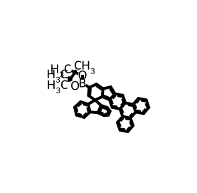 CC1(C)OB(C2=CC3(C4=c5cc6c7ccccc7c7ccccc7c6cc5=CC4=C2)c2ccccc2-c2ccccc23)OC1(C)C